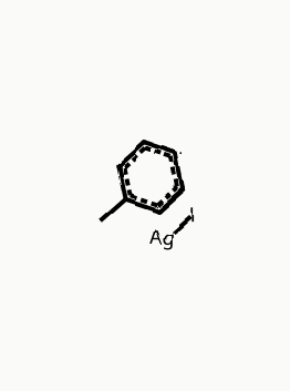 Cc1cc[c]cc1.[Ag][I]